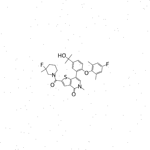 Cc1cc(F)cc(C)c1Oc1ccc(C(C)(C)O)cc1-c1cn(C)c(=O)c2cc(C(=O)N3CCCC(C)(F)C3)sc12